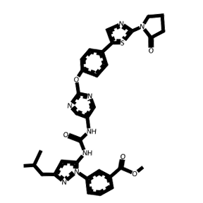 COC(=O)c1cccc(-n2nc(CC(C)C)cc2NC(=O)Nc2cnc(Oc3ccc(-c4cnc(N5CCCC5=O)s4)cc3)nc2)c1